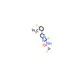 Cc1c(F)cccc1-c1ccc2nc(NC(=O)[C@@H]3C[C@@H]3F)c(F)n2c1